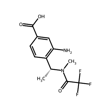 C[C@H](c1ccc(C(=O)O)cc1N)N(C)C(=O)C(F)(F)F